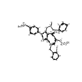 CCOC(=O)Oc1cn(Cc2ccccc2F)c2sc(-c3ccc(NC(C)=O)cc3)c(CN(C)Cc3ccccc3)c2c1=O